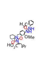 COc1cc(CN2C(=O)N([C@@H](CC(C)C)C(=O)O)C(=O)C23CCCCC3)ccc1NC(=O)Nc1ccccc1C